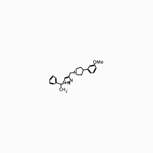 [CH2][C](c1ccccc1)n1cc(CN2CCC(c3cccc(OC)c3)CC2)nn1